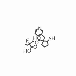 O=C(O)C(F)(F)F.O=C(O)C1(Cc2cccnc2)CCCC1S